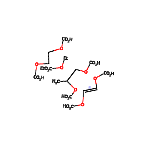 CC(COC(=O)O)OC(=O)O.CCOC(=O)OCC.O=C(O)O/C=C/OC(=O)O.O=C(O)OCCOC(=O)O